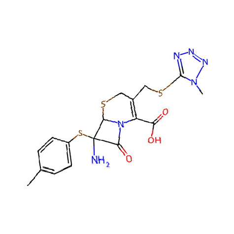 Cc1ccc(SC2(N)C(=O)N3C(C(=O)O)=C(CSc4nnnn4C)CSC32)cc1